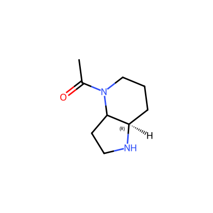 CC(=O)N1CCC[C@H]2NCCC21